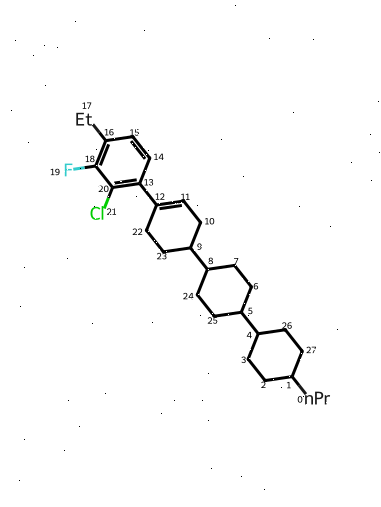 CCCC1CCC(C2CCC(C3CC=C(c4ccc(CC)c(F)c4Cl)CC3)CC2)CC1